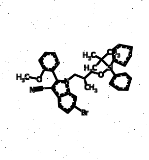 COc1ccccc1-c1c(C#N)c2ccc(Br)cc2n1C[C@H](C)CO[Si](c1ccccc1)(c1ccccc1)C(C)(C)C